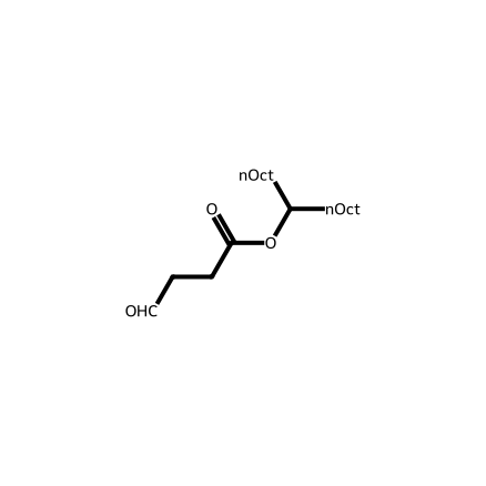 CCCCCCCCC(CCCCCCCC)OC(=O)CCC=O